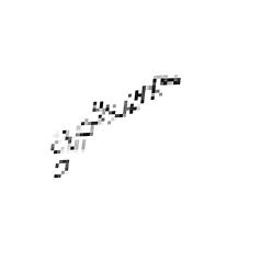 COC(=O)CN1CCN(CC2CN(c3ccc(C(=N)NC(=O)c4ccoc4)cc3)C(=O)O2)CC1